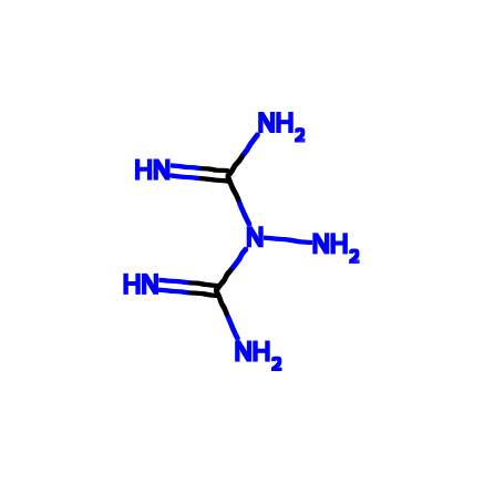 N=C(N)N(N)C(=N)N